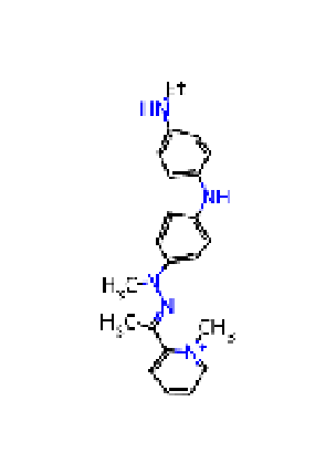 CCNc1ccc(Nc2ccc(N(C)/N=C(\C)c3cccc[n+]3C)cc2)cc1